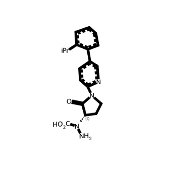 CC(C)c1ccccc1-c1ccc(N2CC[C@H](N(N)C(=O)O)C2=O)nc1